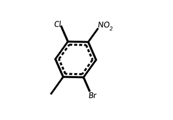 Cc1cc(Cl)c([N+](=O)[O-])cc1Br